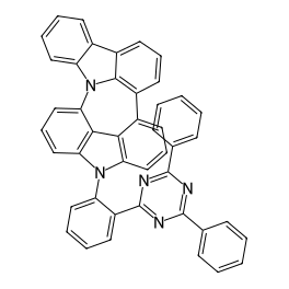 c1ccc(-c2nc(-c3ccccc3)nc(-c3ccccc3-n3c4cccc5c6cccc7c8ccccc8n(c8cccc3c8c54)c67)n2)cc1